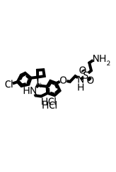 Cl.Cl.NCCS(=O)(=O)NCCOc1ccc2c(c1)[C@H](C1(c3ccc(Cl)cc3)CCC1)NCC2